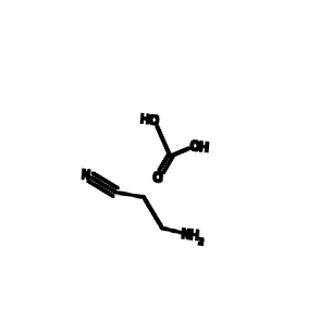 N#CCCN.O=C(O)O